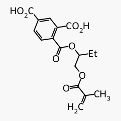 C=C(C)C(=O)OCC(CC)OC(=O)c1ccc(C(=O)O)cc1C(=O)O